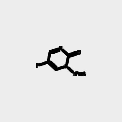 CCCCCn1cc(F)cnc1=O